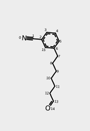 N#Cc1cccc(CCCCCCC=O)c1